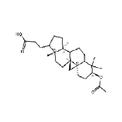 CC(=O)O[C@H]1CC[C@]23C[C@]24CC[C@]2(C)C(CCC(=O)O)CC[C@@]2(C)C4CCC3C1(C)C